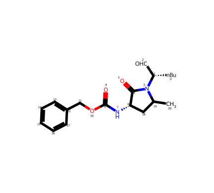 CCCC[C@@H](C=O)N1C(=O)[C@@H](NC(=O)OCc2ccccc2)CC1C